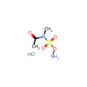 CC(=O)N(C)S(=O)(=O)ON.Cl